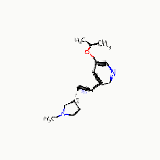 CC(C)Oc1cncc(/C=C/[C@@H]2CCN(C)C2)c1